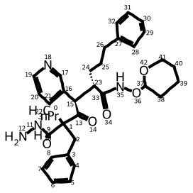 CCCC(Cc1ccccc1)(C(=O)NN)C(=O)[C@@H](c1cnccc1C)[C@H](CCCc1ccccc1)C(=O)NOC1CCCCO1